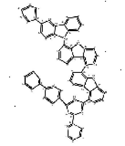 c1ccc(-c2ccc(-c3nc(-c4ccccc4)nc(-c4cccc5oc6c(-c7cccc8oc9c(-n%10c%11ccccc%11c%11cc(-c%12ccccc%12)ccc%11%10)cccc9c78)cccc6c45)n3)cc2)cc1